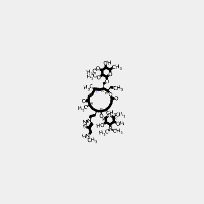 CC[C@H]1OC(=O)CC[C@H](C)[C@@H](O[C@@H]2O[C@H](C)C(O)C(N(C)C)C2O)[C@@H](CCn2cc(CNC)nn2)C[C@@H](C)C(=O)/C=C/C(C)=C/[C@@H]1COC1OC(C)C(O)C(OC)C1OC